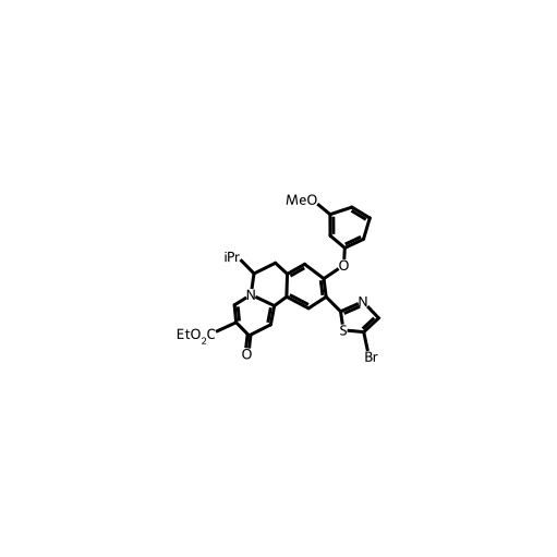 CCOC(=O)c1cn2c(cc1=O)-c1cc(-c3ncc(Br)s3)c(Oc3cccc(OC)c3)cc1CC2C(C)C